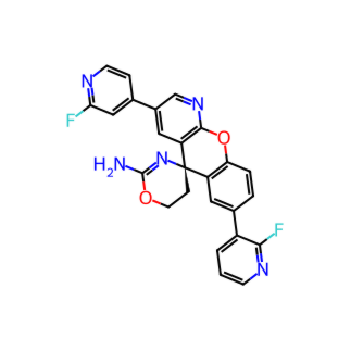 NC1=N[C@@]2(CCO1)c1cc(-c3cccnc3F)ccc1Oc1ncc(-c3ccnc(F)c3)cc12